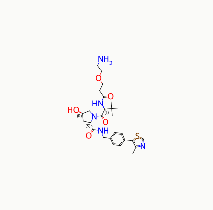 Cc1ncsc1-c1ccc(CNC(=O)[C@@H]2C[C@@H](O)CN2C(=O)[C@@H](NC(=O)CCOCCN)C(C)(C)C)cc1